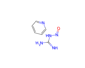 N=C(N)NN=O.c1ccncc1